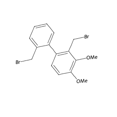 COc1ccc(-c2ccccc2CBr)c(CBr)c1OC